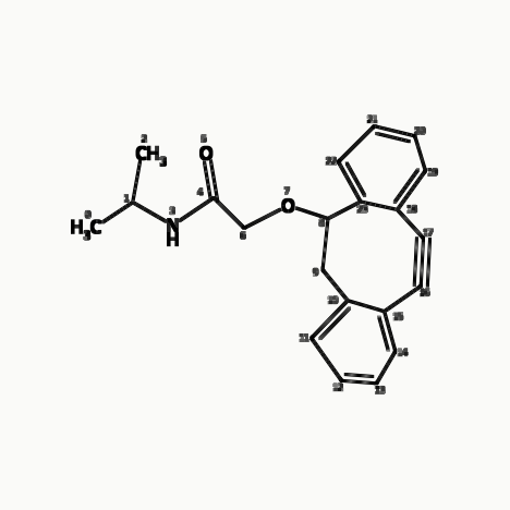 CC(C)NC(=O)COC1Cc2ccccc2C#Cc2ccccc21